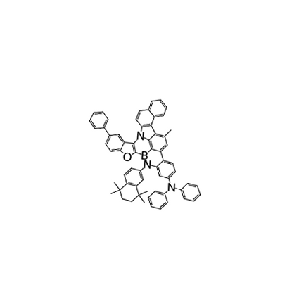 Cc1cc2c3c4c1c1c5ccccc5ccc1n4-c1c(oc4ccc(-c5ccccc5)cc14)B3N(c1ccc3c(c1)C(C)(C)CCC3(C)C)c1cc(N(c3ccccc3)c3ccccc3)ccc1-2